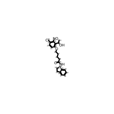 CC(O)c1c(OCCCCC(=O)NN2CCc3ccccc32)ccc(Cl)c1[N+](=O)[O-]